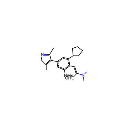 CNc1cc(C2=C(C)CN=C2C)cc(C2CCCC2)c1/C=C(\C=O)N(C)C